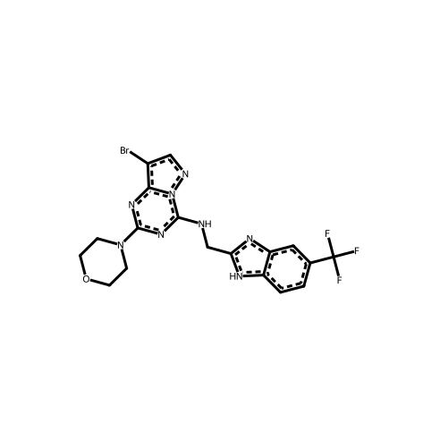 FC(F)(F)c1ccc2[nH]c(CNc3nc(N4CCOCC4)nc4c(Br)cnn34)nc2c1